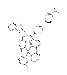 Cc1ccc2c(c1)C1(c3ccccc3-c3ccc(N(c4ccc(-c5ccc(C(C)C)cc5)cc4)c4ccc5c(c4)C(C)(C)c4ccccc4-5)cc31)c1cc(C)ccc1-2